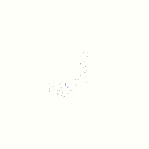 CC1(C)c2ccccc2-c2ccc(N(c3cccc4c3C3C=CC=CC3O4)C3C=CC(c4cc5c(c6c4C=CCC6)OC4C=C(c6ccccc6)C=CC54)=CC3)cc21